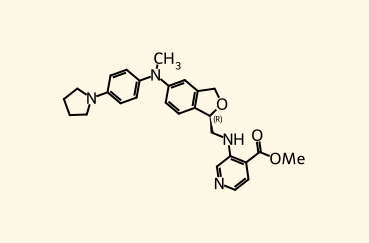 COC(=O)c1ccncc1NC[C@@H]1OCc2cc(N(C)c3ccc(N4CCCC4)cc3)ccc21